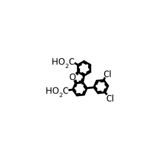 O=C(O)c1cccc2c1oc1c(C(=O)O)ccc(-c3cc(Cl)cc(Cl)c3)c12